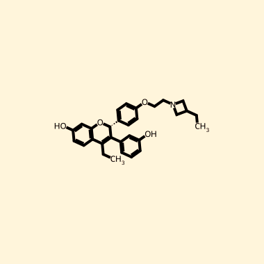 CCC1=C(c2cccc(O)c2)[C@@H](c2ccc(OCCN3CC(CC)C3)cc2)Oc2cc(O)ccc21